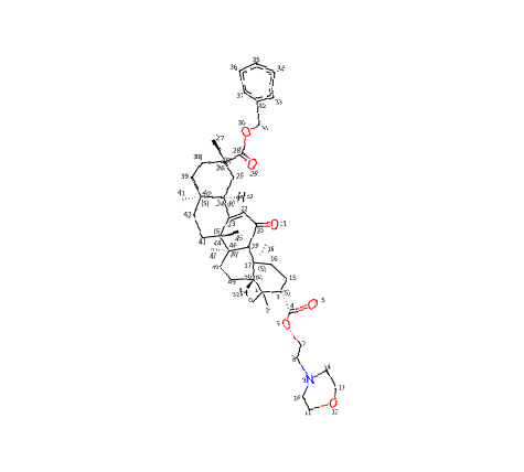 CC1(C)[C@@H](C(=O)OCCN2CCOCC2)CC[C@]2(C)C3C(=O)C=C4[C@@H]5C[C@@](C)(C(=O)OCc6ccccc6)CC[C@]5(C)CC[C@@]4(C)[C@]3(C)CC[C@@H]12